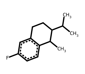 CC(C)C1CCc2cc(F)ccc2C1C